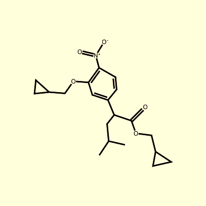 CC(C)CC(C(=O)OCC1CC1)c1ccc([N+](=O)[O-])c(OCC2CC2)c1